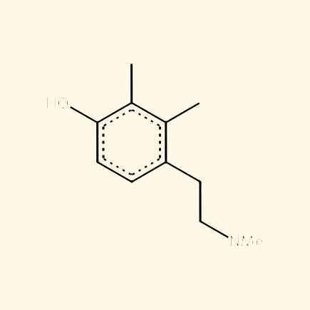 CNCCc1ccc(O)c(C)c1C